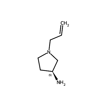 C=CCN1CC[C@H](N)C1